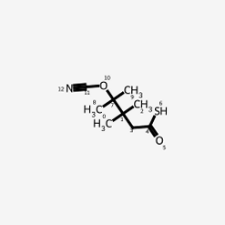 CC(C)(CC(=O)S)C(C)(C)OC#N